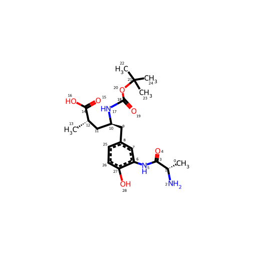 C[C@H](N)C(=O)Nc1cc(C[C@@H](C[C@H](C)C(=O)O)NC(=O)OC(C)(C)C)ccc1O